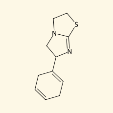 C1=CCC(C2CN3CCSC3=N2)=CC1